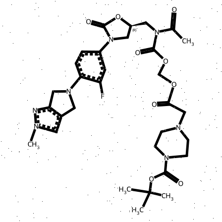 CC(=O)N(C[C@H]1CN(c2ccc(N3Cc4cn(C)nc4C3)c(F)c2)C(=O)O1)C(=O)OCOC(=O)CN1CCN(C(=O)OC(C)(C)C)CC1